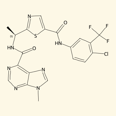 C[C@H](NC(=O)c1ncnc2c1ncn2C)c1ncc(C(=O)Nc2ccc(Cl)c(C(F)(F)F)c2)s1